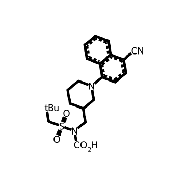 CC(C)(C)CS(=O)(=O)N(CC1CCCN(c2ccc(C#N)c3ccccc23)C1)C(=O)O